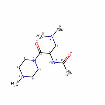 CN1CCN(C(=O)C(CN(C)C(C)(C)C)NC(=O)C(C)(C)C)CC1